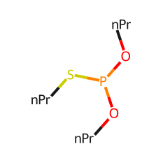 CCCOP(OCCC)SCCC